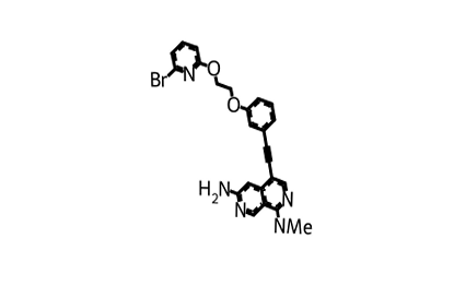 CNc1ncc(C#Cc2cccc(OCCOc3cccc(Br)n3)c2)c2cc(N)ncc12